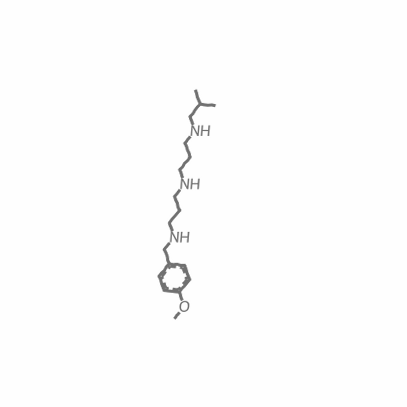 COc1ccc(CNCCCNCCCNCC(C)C)cc1